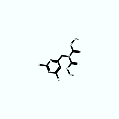 CC(C)(C)OC(=O)N(Cc1cc(Cl)nc(Cl)n1)C(=O)OC(C)(C)C